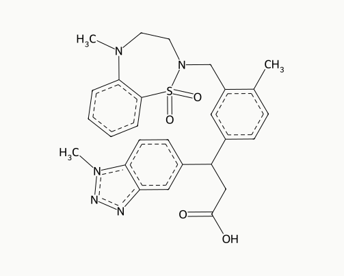 Cc1ccc(C(CC(=O)O)c2ccc3c(c2)nnn3C)cc1CN1CCN(C)c2ccccc2S1(=O)=O